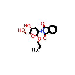 C=CCO[C@@H]1O[C@H](CO)[C@H](O)C[C@H]1N1C(=O)c2ccccc2C1=O